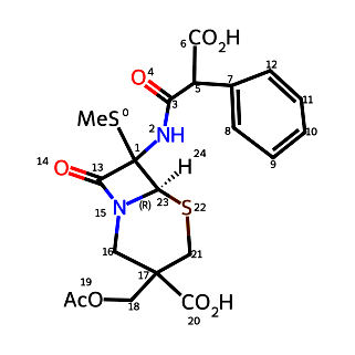 CSC1(NC(=O)C(C(=O)O)c2ccccc2)C(=O)N2CC(COC(C)=O)(C(=O)O)CS[C@@H]21